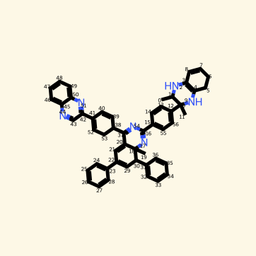 CC1NC2=C(CCC=C2)NC1(C)c1ccc(C2=NC3(C)C(=CC(c4ccccc4)=CC3c3ccccc3)C(C3C=CC(c4cnc5ccccc5n4)=CC3)=N2)cc1